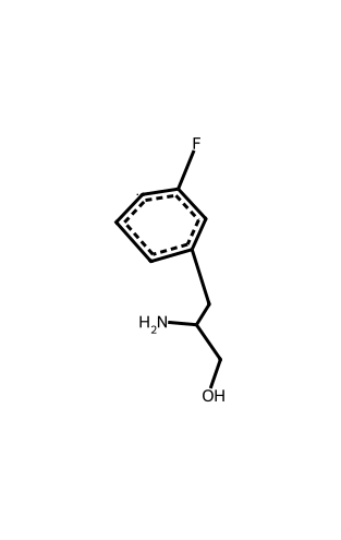 NC(CO)Cc1cc[c]c(F)c1